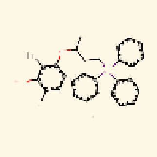 CCCc1c(OC(C)CC[P+](c2ccccc2)(c2ccccc2)c2ccccc2)ccc(C(C)=O)c1O.[Br-]